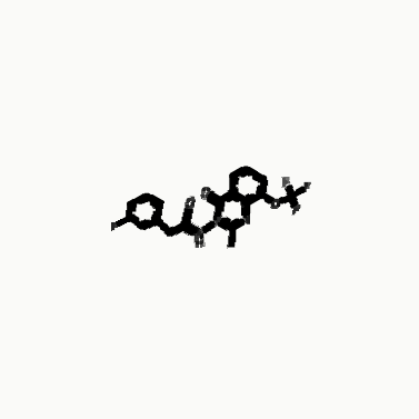 Cc1nc2c(OC(F)(F)F)cccc2c(=O)n1NC(=O)Cc1cccc(F)c1